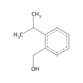 CC(C)c1ccc[c]c1CO